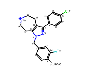 COc1ccc(Cn2nc(-c3ccc(Cl)cc3)c3c2CCNCC3)cc1F